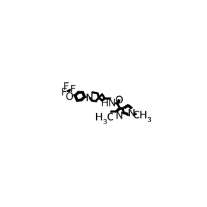 CCc1nc2cn(C)ccc-2c1C(=O)NCC1CC2(CCN(c3ccc(OC(F)(F)F)cc3)CC2)C1